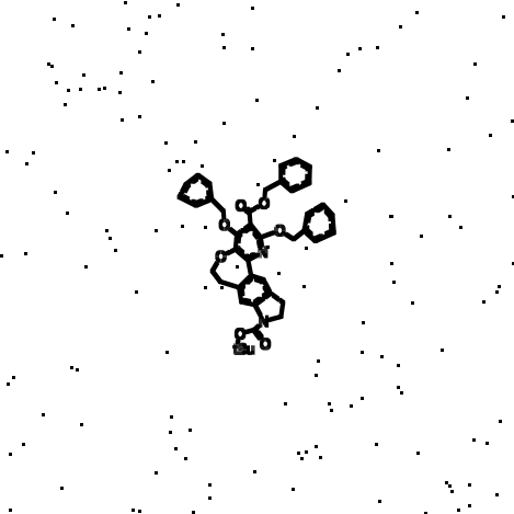 CC(C)(C)OC(=O)N1CCc2cc3c(cc21)CCOc1c-3nc(OCc2ccccc2)c(C(=O)OCc2ccccc2)c1OCc1ccccc1